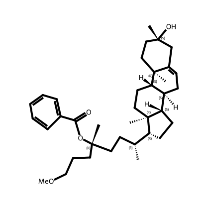 COCCC[C@@](C)(CC[C@@H](C)[C@H]1CC[C@H]2[C@@H]3CC=C4C[C@@](C)(O)CC[C@]4(C)[C@H]3CC[C@]12C)OC(=O)c1ccccc1